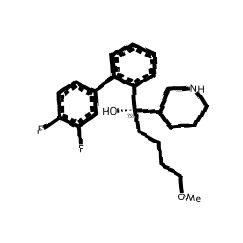 COCCCC[C@@](O)(c1ccccc1-c1ccc(F)c(F)c1)C1CCCNC1